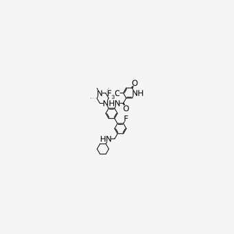 C[C@@H]1CN(c2ccc(-c3cc(CNC4CCCCC4)ccc3F)cc2NC(=O)c2c[nH]c(=O)cc2C(F)(F)F)C[C@H](C)N1C